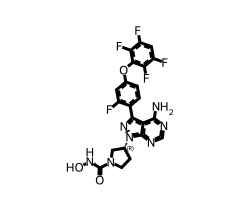 Nc1ncnc2c1c(-c1ccc(Oc3c(F)c(F)cc(F)c3F)cc1F)nn2[C@@H]1CCN(C(=O)NO)C1